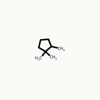 CC1[CH]CCC1(C)C